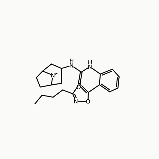 CCCCc1noc(-c2ccccc2NC(=O)NC2CC3CCC(C2)N3C)n1